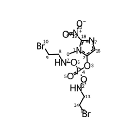 Cn1c(OP(=O)(ONCCBr)ONCCBr)cnc1[N+](=O)[O-]